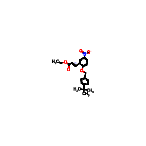 CCOC(=O)/C=C/c1cc([N+](=O)[O-])ccc1OCc1ccc(C(C)(C)C)cc1